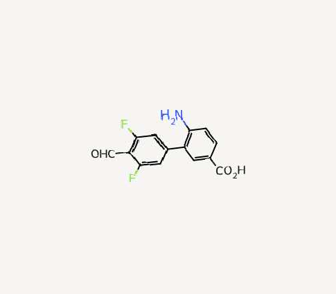 Nc1ccc(C(=O)O)cc1-c1cc(F)c(C=O)c(F)c1